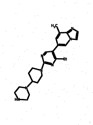 CCc1nc(N2CCC(N3CCNCC3)CC2)ncc1-c1cc(C)c2nccn2c1